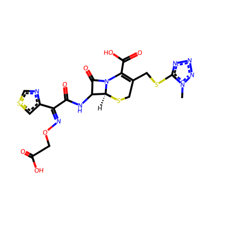 Cn1nnnc1SCC1=C(C(=O)O)N2C(=O)C(NC(=O)C(=NOCC(=O)O)c3cscn3)[C@@H]2SC1